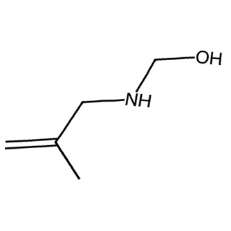 C=C(C)CNCO